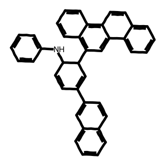 C1=CC(Nc2ccccc2)C(c2cc3c4ccccc4ccc3c3ccccc23)C=C1c1ccc2ccccc2c1